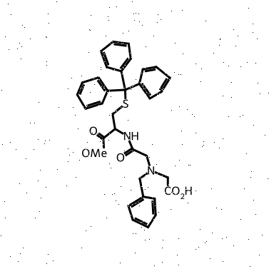 COC(=O)C(CSC(c1ccccc1)(c1ccccc1)c1ccccc1)NC(=O)CN(CC(=O)O)Cc1ccccc1